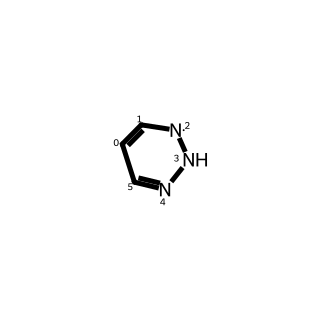 C1=C[N]NN=C1